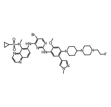 COc1cc(N2CCC(N3CCN(CCF)CC3)CC2)c(-c2cnn(C)c2)cc1Nc1ncc(Br)c(Nc2ccc3nccnc3c2N(C)S(=O)(=O)C2CC2)n1